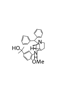 COc1ccc(C(C)(C)O)cc1N[C@H]1C2CCN(CC2)[C@@]1(C)C(c1ccccc1)c1ccccc1